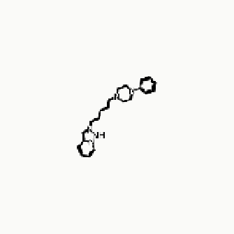 C1=CC2=CN(CCCCCN3CCN(c4ccccc4)CC3)NN2C=C1